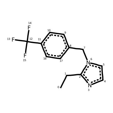 CCc1nccn1Cc1ccc(C(F)(F)F)cc1